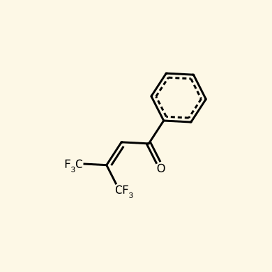 O=C(C=C(C(F)(F)F)C(F)(F)F)c1ccccc1